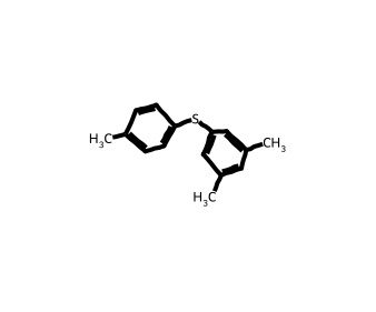 Cc1ccc(Sc2cc(C)cc(C)c2)cc1